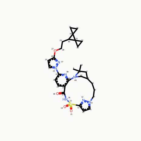 CC1(C)CC2CCCn3ccc(n3)S(=O)(=O)NC(=O)c3ccc(-n4ccc(OCCC5C6(CC6)C56CC6)n4)nc3N1C2